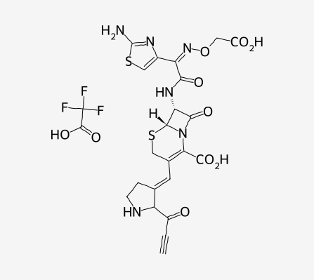 C#CC(=O)C1NCC/C1=C\C1=C(C(=O)O)N2C(=O)[C@@H](NC(=O)/C(=N\OCC(=O)O)c3csc(N)n3)[C@H]2SC1.O=C(O)C(F)(F)F